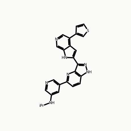 CC(C)Nc1cncc(-c2ccc3[nH]nc(-c4cc5c(-c6ccsc6)cncc5[nH]4)c3n2)c1